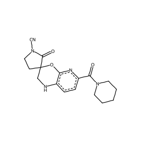 N#CN1CCC2(CNc3ccc(C(=O)N4CCCCC4)nc3O2)C1=O